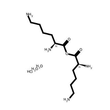 Cl.NCCCC[C@H](N)C(=O)OC(=O)[C@@H](N)CCCCN.O.O